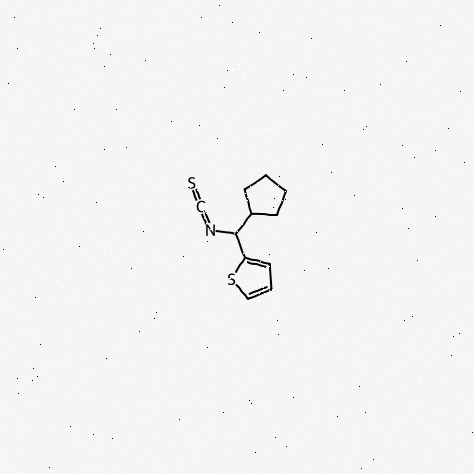 S=C=NC(c1cccs1)C1CCCC1